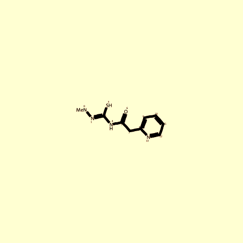 CN/N=C(\S)NC(=O)Cc1ccccn1